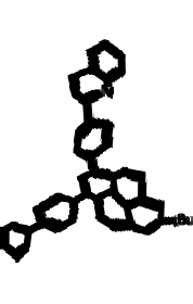 CC(C)(C)c1cc2ccc3c(-c4ccc(-c5ccccc5)cc4)cc(-c4ccc(-c5ccc6ccccc6n5)cc4)c4ccc(c1)c2c34